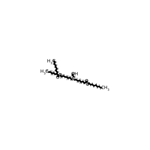 CCCCCCCCCOC(=O)CCCCCCCN(CCO)CCCCCCCOC(=O)C(CCCCCC)CCCCCCCC